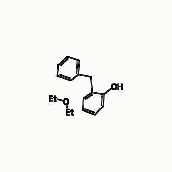 CCOCC.Oc1ccccc1Cc1ccccc1